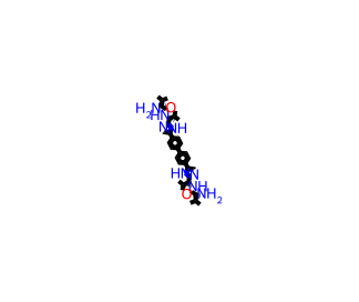 CC(C)[C@H](NC(=O)[C@H](N)C(C)C)c1ncc(-c2ccc(-c3ccc(-c4cnc([C@@H](NC(=O)[C@H](N)C(C)C)C(C)C)[nH]4)cc3)cc2)[nH]1